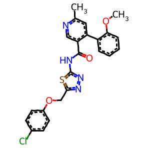 COc1ccccc1-c1cc(C)ncc1C(=O)Nc1nnc(COc2ccc(Cl)cc2)s1